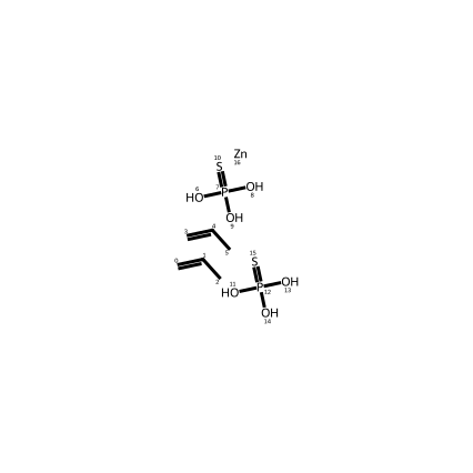 C=CC.C=CC.OP(O)(O)=S.OP(O)(O)=S.[Zn]